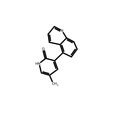 Cc1c[nH]c(=O)c(-c2cccc3ncccc23)c1